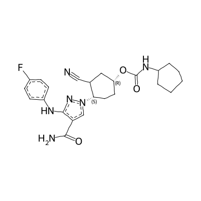 N#CC1C[C@H](OC(=O)NC2CCCCC2)CC[C@@H]1n1cc(C(N)=O)c(Nc2ccc(F)cc2)n1